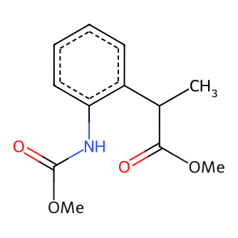 COC(=O)Nc1ccccc1C(C)C(=O)OC